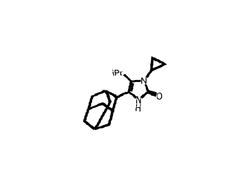 CC(C)c1c(C2C3CC4CC(C3)CC2C4)[nH]c(=O)n1C1CC1